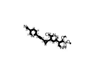 CON/C(OC)=C(\C=N)c1cc(C2CC2C#Cc2ccc(C#N)cn2)c(Cl)nn1